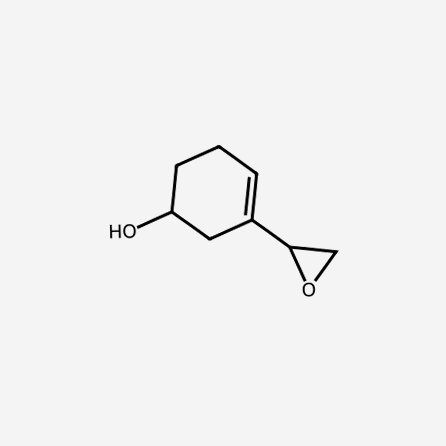 OC1CCC=C(C2CO2)C1